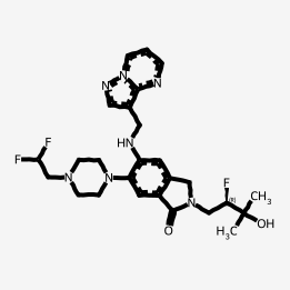 CC(C)(O)[C@H](F)CN1Cc2cc(NCc3cnn4cccnc34)c(N3CCN(CC(F)F)CC3)cc2C1=O